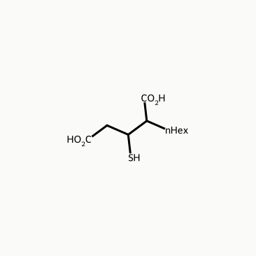 CCCCCCC(C(=O)O)C(S)CC(=O)O